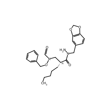 CCCCC[C@H](CN(C=O)OCc1ccccc1)C(=O)N(N)Cc1ccc2c(c1)OCO2